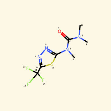 CN(C)C(=O)N(C)c1nnc(C(F)(F)F)s1